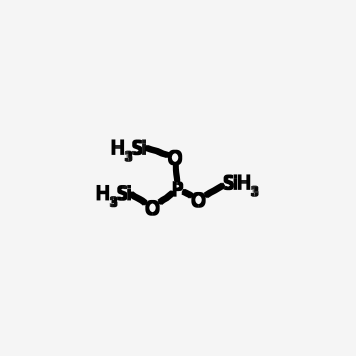 [SiH3]OP(O[SiH3])O[SiH3]